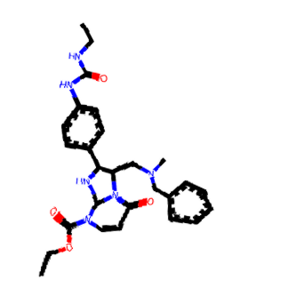 CCNC(=O)Nc1ccc(C2NC3N(C(=O)OCC)C=CC(=O)N3C2CN(C)Cc2ccccc2)cc1